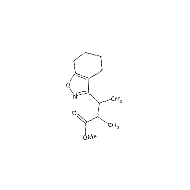 COC(=O)C(C)C(C)c1noc2c1CCCC2